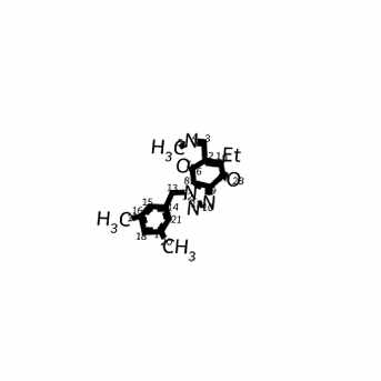 CCC1=C(/C=N\C)C(=O)c2c(nnn2Cc2cc(C)cc(C)c2)C1=O